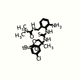 CN(C)C(=O)NCc1cccc(N)c1NC(=S)NC(C)(COC(=O)C(C)(C)C)c1cccc(Cl)c1